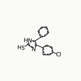 Sc1nc(-c2ccc(Cl)cc2)c(-c2ccccc2)[nH]1